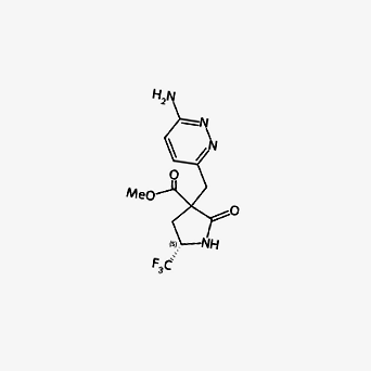 COC(=O)C1(Cc2ccc(N)nn2)C[C@@H](C(F)(F)F)NC1=O